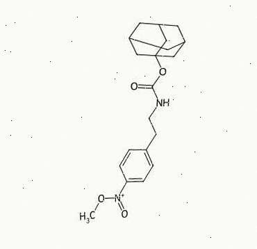 CO[N+](=O)c1ccc(CCNC(=O)OC23CC4CC(CC(C4)C2)C3)cc1